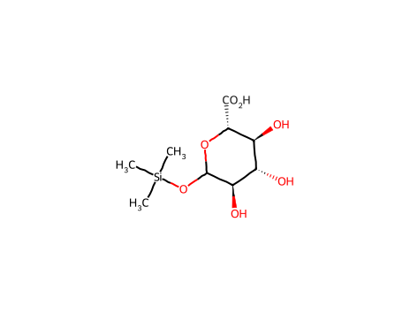 C[Si](C)(C)OC1O[C@H](C(=O)O)[C@@H](O)[C@H](O)[C@H]1O